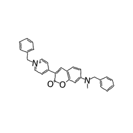 CN(Cc1ccccc1)c1ccc2cc(-c3cc[n+](Cc4ccccc4)cc3)c(=O)oc2c1